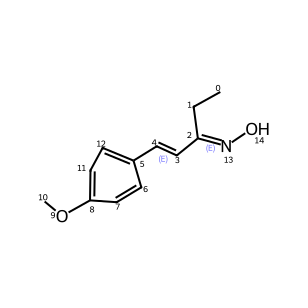 CCC(/C=C/c1ccc(OC)cc1)=N\O